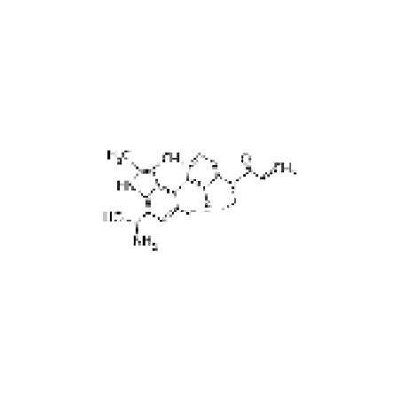 C=CC(=O)N1CCSc2c(-c3c(F)cc(C(N)O)c4[nH]c(C)c(C)c34)cccc21